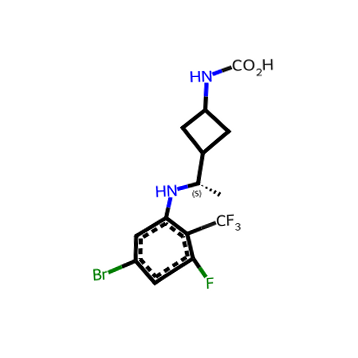 C[C@H](Nc1cc(Br)cc(F)c1C(F)(F)F)C1CC(NC(=O)O)C1